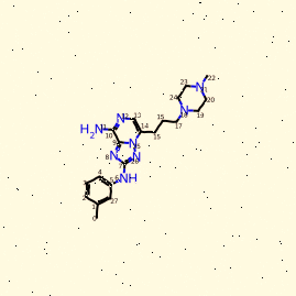 Cc1cccc(Nc2nc3c(N)ncc(CCCN4CCN(C)CC4)n3n2)c1